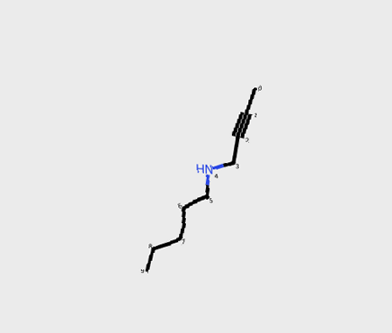 CC#CCNCCCCC